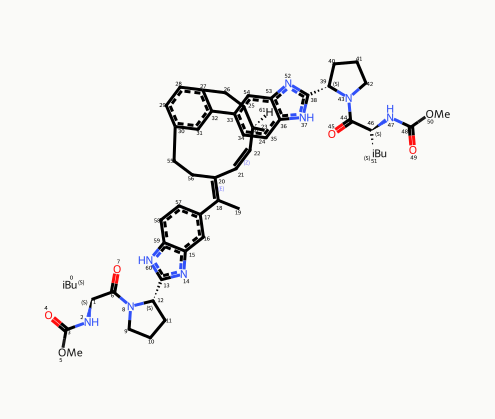 CC[C@H](C)[C@H](NC(=O)OC)C(=O)N1CCC[C@H]1c1nc2cc(/C(C)=C3/C=C\[C@H](C)CCc4ccc(cc4-c4ccc5[nH]c([C@@H]6CCCN6C(=O)[C@@H](NC(=O)OC)[C@@H](C)CC)nc5c4)CC3)ccc2[nH]1